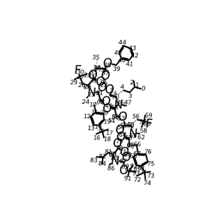 CC(C)CC[C@@H](C(=O)O[C@H](Cc1ccc(C(C)(C)C)cc1)C(=O)N(C)[C@@H](CC(C)(C)F)C(=O)O[C@H](C)C(=O)OCc1ccccc1)N(C)C(=O)[C@@H](C)OC(=O)[C@H](CC(C)(C)F)N(C)C(=O)[C@@H](Cc1ccc(C(C)(C)C)cc1)OC(=O)[C@H](CC(C)C)N(C)C(=O)OC(C)(C)C